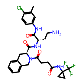 Cc1cc(NC(=O)[C@H](CCN)NC(=O)[C@@H]2Cc3ccccc3CN2C(=O)CCC(=O)NC2(C(F)(F)F)CC2)ccc1Cl